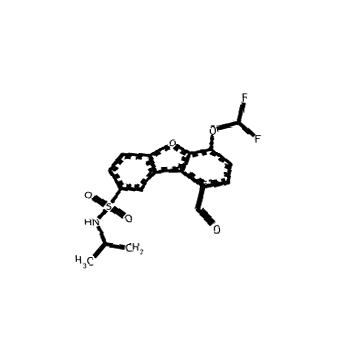 CC(C)NS(=O)(=O)c1ccc2oc3c(OC(F)F)ccc(C=O)c3c2c1